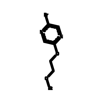 CCOCCOc1cnc(Br)cn1